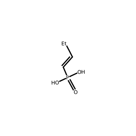 [CH2]CC=CP(=O)(O)O